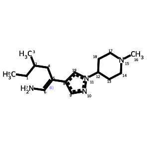 CCC(C)C/C(=C\N)c1cnn(C2CCN(C)CC2)c1